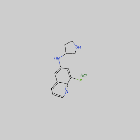 Cl.Fc1cc(NC2CCNC2)cc2cccnc12